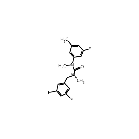 Cc1cc(F)cc(N(C)C(=O)[C@@H](C)Cc2cc(F)cc(F)c2)c1